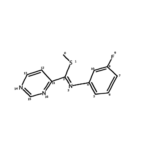 CSC(=Nc1cccc(F)c1)c1ccncn1